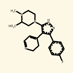 CN1CCN(c2[nH]nc(-c3ccc(F)cc3)c2C2=CC=NCC2)CC1C(=O)O